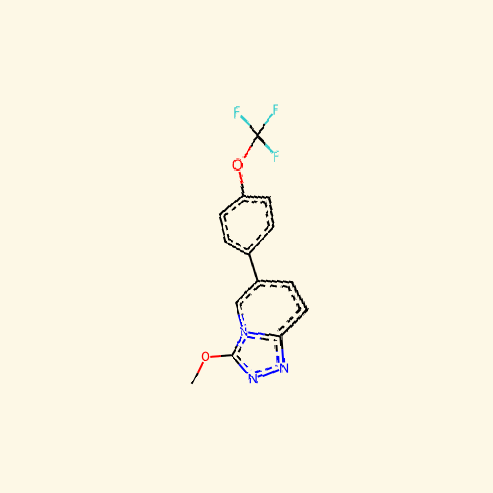 COc1nnc2ccc(-c3ccc(OC(F)(F)F)cc3)cn12